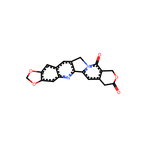 O=C1Cc2cc3n(c(=O)c2CO1)Cc1cc2cc4c(cc2nc1-3)OCO4